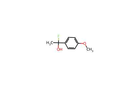 COc1ccc(C(C)(O)F)cc1